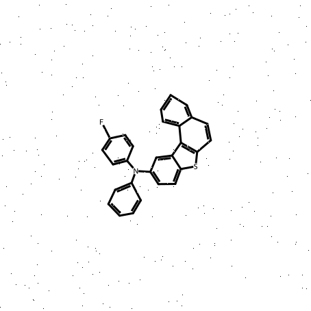 Fc1ccc(N(c2ccccc2)c2ccc3sc4ccc5ccccc5c4c3c2)cc1